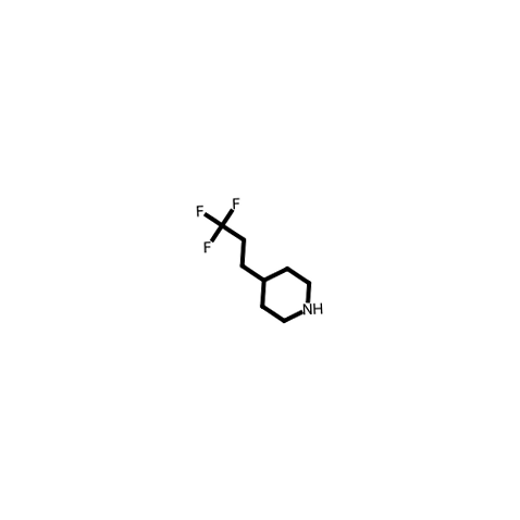 FC(F)(F)CCC1CCNCC1